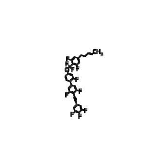 C/C=C/CCc1cc(F)c(C(F)(F)Oc2ccc(-c3cc(F)c(C#Cc4cc(F)c(F)c(F)c4)c(F)c3)c(F)c2)c(F)c1